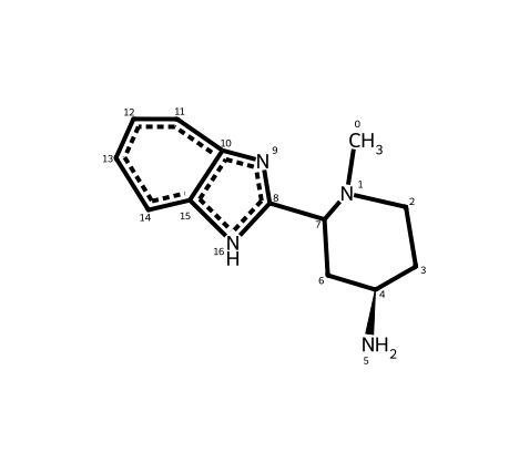 CN1CC[C@@H](N)CC1c1nc2ccccc2[nH]1